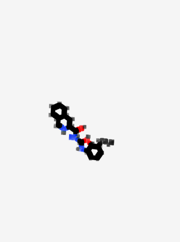 O=C(Nc1nc2cccc(C(=O)O)c2o1)c1cc2ccccc2cn1